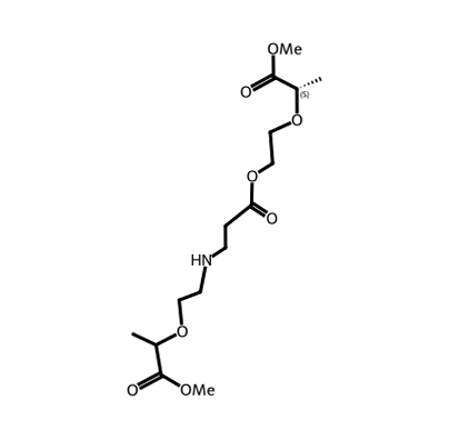 COC(=O)C(C)OCCNCCC(=O)OCCO[C@@H](C)C(=O)OC